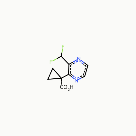 O=C(O)C1(c2nccnc2C(F)F)CC1